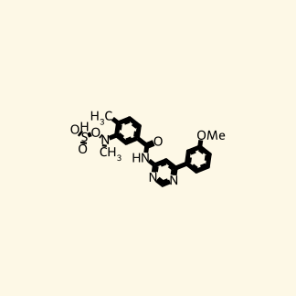 COc1cccc(-c2cc(NC(=O)c3ccc(C)c(N(C)O[SH](=O)=O)c3)ncn2)c1